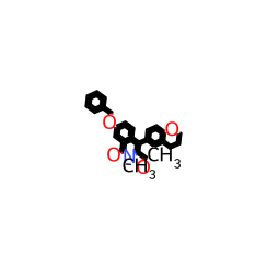 Cc1c(-c2c(C=O)n(C)c(=O)c3cc(OCc4ccccc4)ccc23)ccc2c1CCCO2